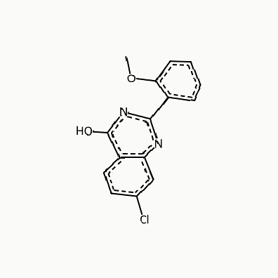 COc1ccccc1-c1nc(O)c2ccc(Cl)cc2n1